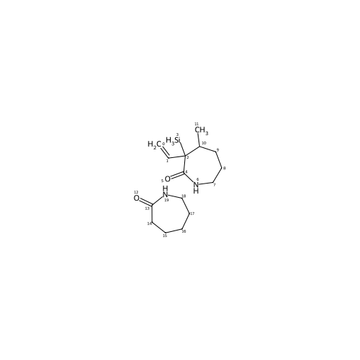 C=CC1([SiH3])C(=O)NCCCC1C.O=C1CCCCCN1